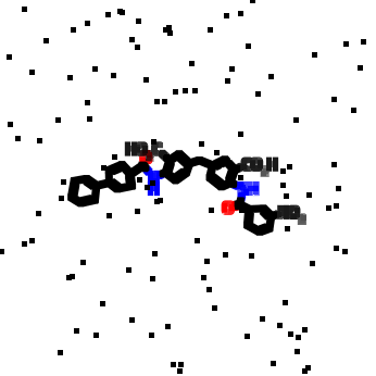 O=C(Nc1ccc(Cc2ccc(NC(=O)c3cccc([N+](=O)[O-])c3)c(C(=O)O)c2)cc1C(=O)O)c1ccc(-c2ccccc2)cc1